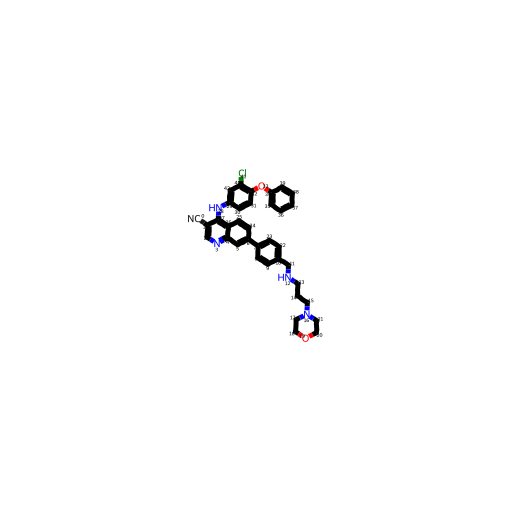 N#Cc1cnc2cc(-c3ccc(CNCCCN4CCOCC4)cc3)ccc2c1Nc1ccc(Oc2ccccc2)c(Cl)c1